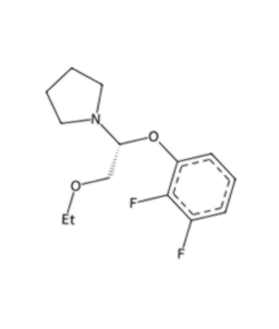 CCOC[C@@H](Oc1cccc(F)c1F)N1CCCC1